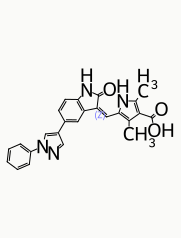 Cc1[nH]c(/C=C2\C(=O)Nc3ccc(-c4cnn(-c5ccccc5)c4)cc32)c(C)c1C(=O)O